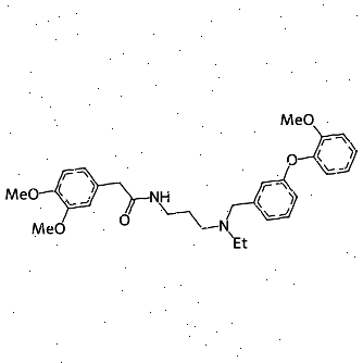 CCN(CCCNC(=O)Cc1ccc(OC)c(OC)c1)Cc1cccc(Oc2ccccc2OC)c1